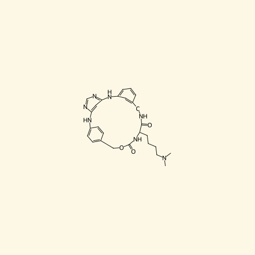 CN(C)CCCCC1NC(=O)OCc2ccc(cc2)Nc2cc(ncn2)Nc2cccc(c2)CNC1=O